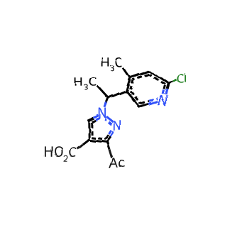 CC(=O)c1nn(C(C)c2cnc(Cl)cc2C)cc1C(=O)O